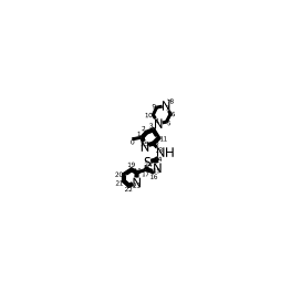 Cc1cc(N2CCN(C)CC2)cc(Nc2ncc(-c3ccccn3)s2)n1